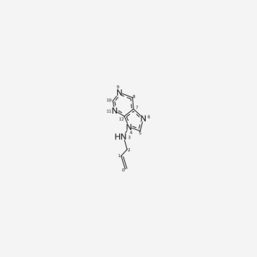 C=CCNn1cnc2cncnc21